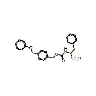 O=C(N[C@@H](Cc1ccccc1)C(=O)O)OCc1ccc(COc2ccccc2)cc1